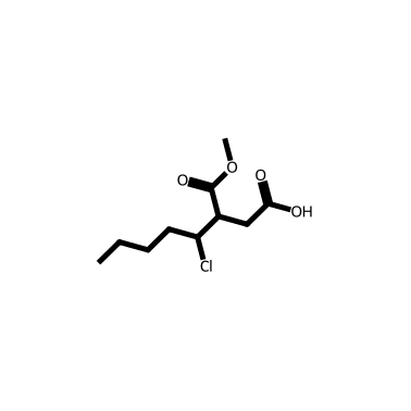 CCCCC(Cl)C(CC(=O)O)C(=O)OC